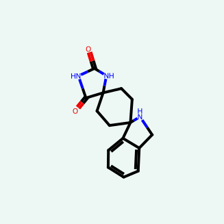 O=C1NC(=O)C2(CCC3(CC2)NCc2ccccc23)N1